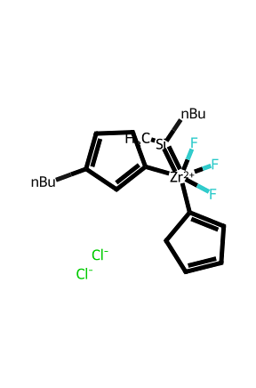 CCCCC1=CC[C]([Zr+2]([F])([F])([F])([C]2=CC=CC2)=[Si](C)CCCC)=C1.[Cl-].[Cl-]